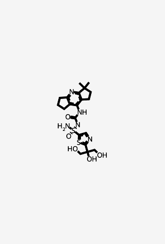 CC1(C)CCc2c1nc1c(c2NC(=O)N=S(N)(=O)c2cnc(C(O)(CO)CO)s2)CCC1